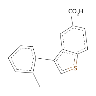 Cc1ccccc1-c1csc2ccc(C(=O)O)cc12